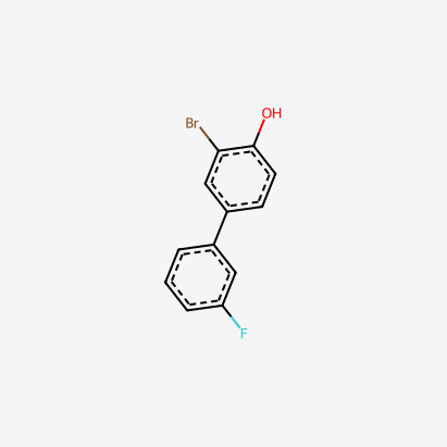 Oc1ccc(-c2cccc(F)c2)cc1Br